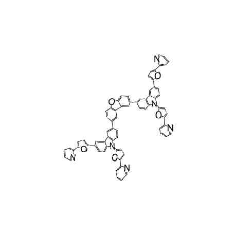 c1ccc(-c2ccc(-c3ccc4c(c3)c3cc(-c5ccc6oc7ccc(-c8ccc9c(c8)c8cc(-c%10ccc(-c%11ccccn%11)o%10)ccc8n9-c8ccc(-c9ccccn9)o8)cc7c6c5)ccc3n4-c3ccc(-c4ccccn4)o3)o2)nc1